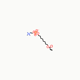 C=CC(=O)OCCCCCCCCOP(=O)([O-])OCC[N+](C)(C)C